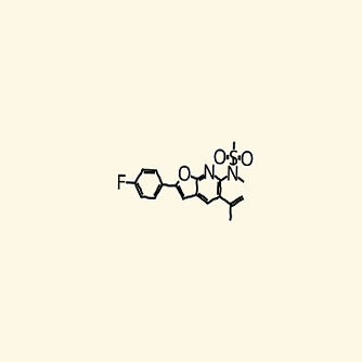 C=C(C)c1cc2cc(-c3ccc(F)cc3)oc2nc1N(C)S(C)(=O)=O